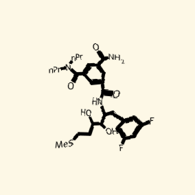 CCCN(CCC)C(=O)c1cc(C(N)=O)cc(C(=O)NC(Cc2cc(F)cc(F)c2)C(O)C(O)CCSC)c1